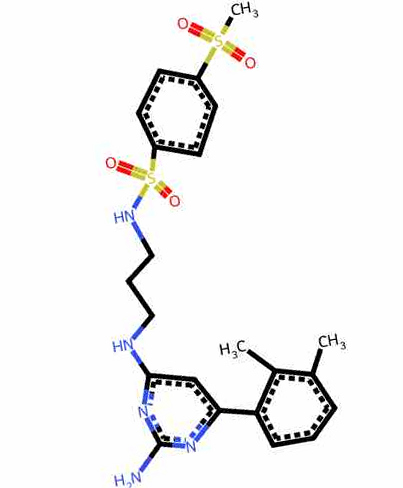 Cc1cccc(-c2cc(NCCCNS(=O)(=O)c3ccc(S(C)(=O)=O)cc3)nc(N)n2)c1C